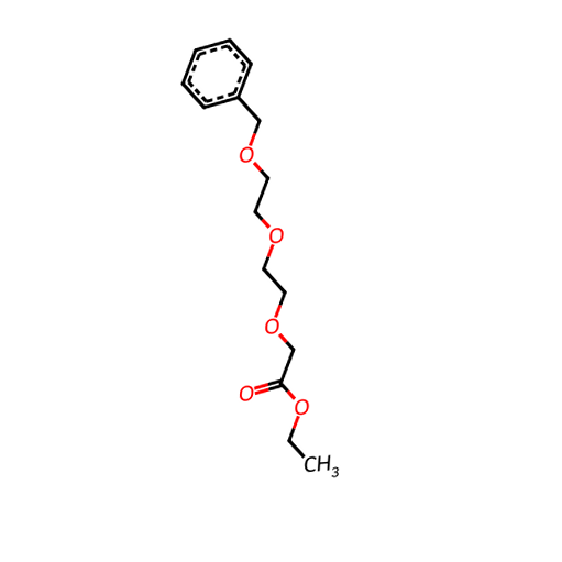 CCOC(=O)COCCOCCOCc1ccccc1